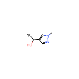 Cn1cc(C(O)C#N)cn1